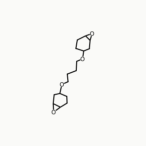 C(CCOC1CCC2OC2C1)COC1CCC2OC2C1